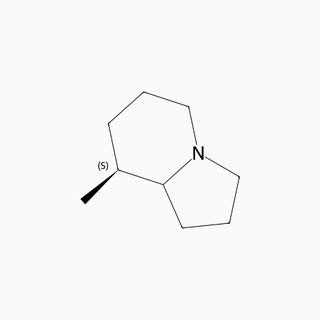 C[C@H]1CCCN2CCCC12